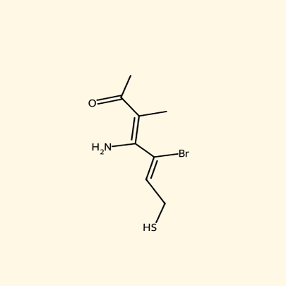 CC(=O)/C(C)=C(N)/C(Br)=C/CS